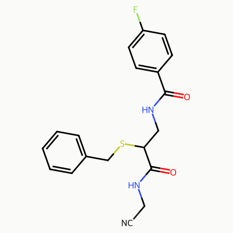 N#CCNC(=O)C(CNC(=O)c1ccc(F)cc1)SCc1ccccc1